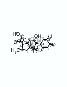 C[C@@H]1C[C@H]2[C@@H]3CCC4=CC(=O)C(Cl)=C[C@]4(C)[C@H]3[C@@H](O)C[C@]2(C)[C@H]1C(=O)CO